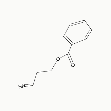 N=CCCOC(=O)c1ccccc1